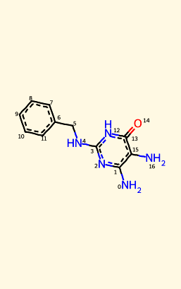 Nc1nc(NCc2ccccc2)[nH]c(=O)c1N